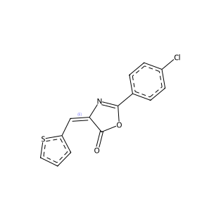 O=C1OC(c2ccc(Cl)cc2)=N/C1=C/c1cccs1